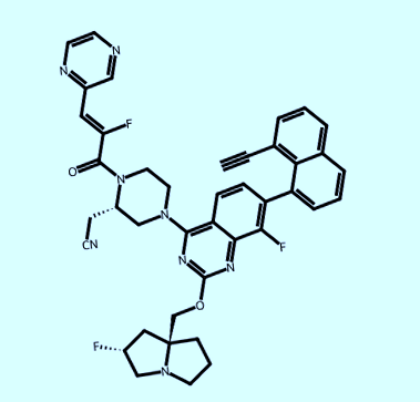 C#Cc1cccc2cccc(-c3ccc4c(N5CCN(C(=O)/C(F)=C/c6cnccn6)[C@@H](CC#N)C5)nc(OC[C@@]56CCCN5C[C@H](F)C6)nc4c3F)c12